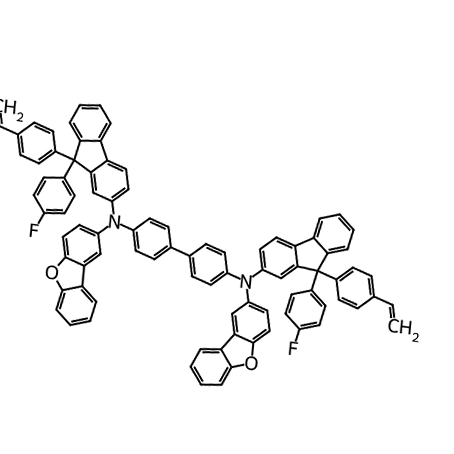 C=Cc1ccc(C2(c3ccc(F)cc3)c3ccccc3-c3ccc(N(c4ccc(-c5ccc(N(c6ccc7c(c6)C(c6ccc(F)cc6)(c6ccc(C=C)cc6)c6ccccc6-7)c6ccc7oc8ccccc8c7c6)cc5)cc4)c4ccc5oc6ccccc6c5c4)cc32)cc1